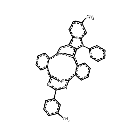 Cc1cccc(-c2nc3nc(n2)c2ccccc2c2cc(cc4c5ccc(C)cc5n(-c5ccccc5)c24)c2ccccc32)c1